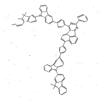 C=C/C=C\C1=C(C)C(C)(C)c2cc(-n3c4ccccc4c4cc(-c5ccc(-c6nc(-c7ccccc7)nc7c6-c6ccc(-c8ccc(-c9ccc%10c(c9)c9ccccc9n%10-c9ccc%10c(c9)C(C)(C)c9ccccc9-%10)cc8)c8cccc-7c68)cc5)ccc43)ccc21